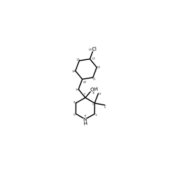 CC1(C)CNCCC1(O)CC1CCC(Cl)CC1